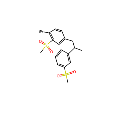 CC(C)c1ccc(CC(C)c2cccc(S(C)(=O)=O)c2)cc1S(C)(=O)=O